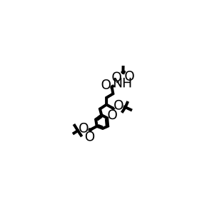 CC(=O)ONC(=O)CCC(Cc1cccc(C(=O)OC(C)(C)C)c1)C(=O)OC(C)(C)C